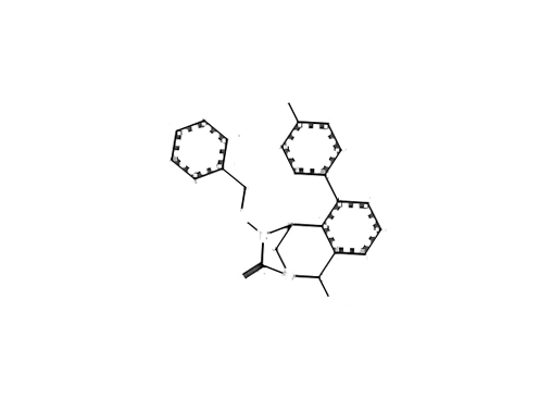 CCOC(=O)C1c2cccc(-c3ccc(F)cc3)c2C2CN1C(=O)N2OCc1ccccc1